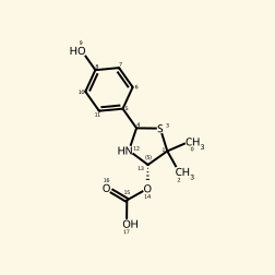 CC1(C)SC(c2ccc(O)cc2)N[C@H]1OC(=O)O